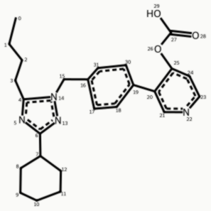 CCCCc1nc(C2CCCCC2)nn1Cc1ccc(-c2cnccc2OC(=O)O)cc1